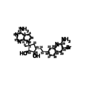 C[C@@]1(n2ccc3c(N)ncnc32)C[C@H](CCc2ccc3cc(Br)c(N)nc3c2)[C@@H](O)[C@H]1O